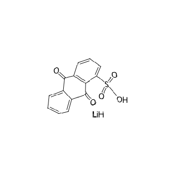 O=C1c2ccccc2C(=O)c2c1cccc2S(=O)(=O)O.[LiH]